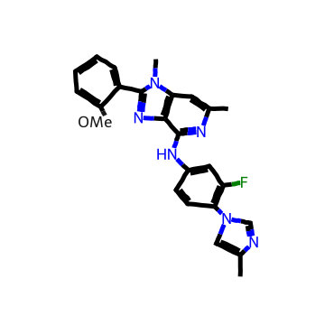 COc1ccccc1-c1nc2c(Nc3ccc(-n4cnc(C)c4)c(F)c3)nc(C)cc2n1C